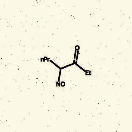 CCCC(N=O)C(=O)CC